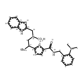 CN(C)c1ccccc1CNC(=O)c1csc(C(CN(Cc2nc3ccccc3[nH]2)C(=O)O)C(C)(C)C)n1